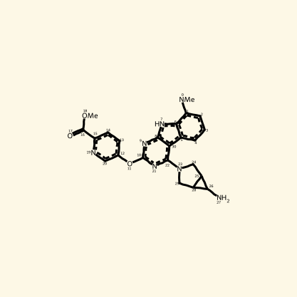 CNc1cccc2c1[nH]c1nc(Oc3ccc(C(=O)OC)nc3)nc(N3CC4C(N)C4C3)c12